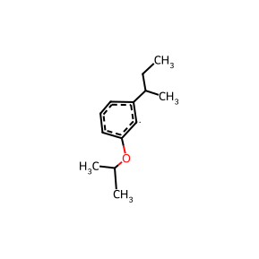 CCC(C)c1[c]c(OC(C)C)ccc1